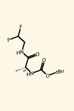 C[C@@H](NC(=O)OC(C)(C)C)C(=O)NCC(F)F